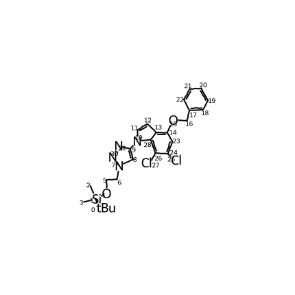 CC(C)(C)[Si](C)(C)OCCn1cc(-n2ccc3c(OCc4ccccc4)cc(Cl)c(Cl)c32)nn1